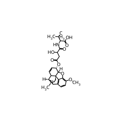 COc1ccc2c3c1O[C@H]1[C@@H](OC(=O)CC(O)C(=O)NC(C(=O)O)C(C)C)C=CC4[C@@H](C2)N(C)CC[C@@]341